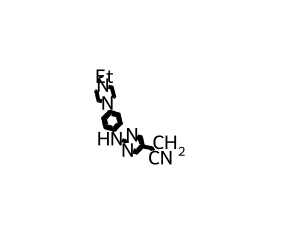 C=C(C#N)c1cnc(Nc2ccc(N3CCN(CC)CC3)cc2)nc1